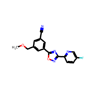 COCc1cc(C#N)cc(-c2nc(-c3ccc(F)cn3)no2)c1